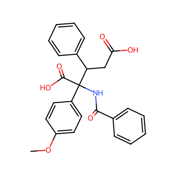 COc1ccc(C(NC(=O)c2ccccc2)(C(=O)O)C(CC(=O)O)c2ccccc2)cc1